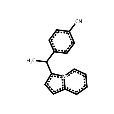 CC(c1ccc(C#N)cc1)c1ccc2ccccn12